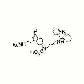 CC(=O)NCCc1c[nH]c2ccc(N(CCCCNc3c4c(nc5ccccc35)CCCC4)C(=O)O)cc12